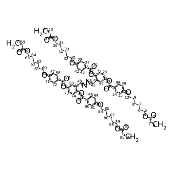 C=CC(=O)OCCCCCCOc1ccc(C(=O)Oc2ccc(OC(=O)c3ccc(OCCCCCCOC(=O)C=C)cc3)c(/C=N/N=C/c3cc(OC(=O)c4ccc(OCCCCCCOC(=O)C=C)cc4)ccc3OC(=O)c3ccc(OCCCCCCOC(=O)C=C)cc3)c2)cc1